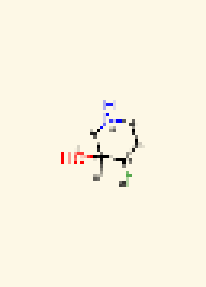 CC1(O)CNCCC1F